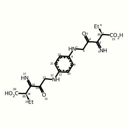 CC[C@H](C(=N)C(=O)CNc1ccc(NCC(=O)C(=N)[C@@H](CC)C(=O)O)cc1)C(=O)O